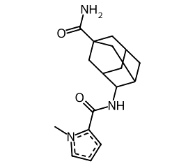 Cn1cccc1C(=O)NC1C2CC3CC1CC(C(N)=O)(C3)C2